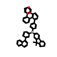 CC1(C)c2ccccc2-c2ccc(N(c3ccc(-c4cccc(-c5ccccc5)c4-c4ccccc4-c4ccccc4)cc3)c3cccc(-c4cccc5ccccc45)c3)cc21